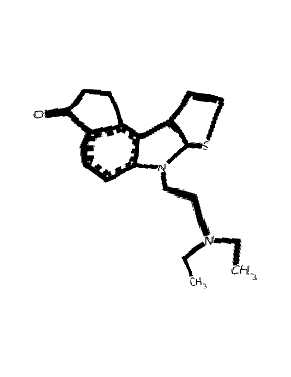 CCN(CC)CCN1c2ccc3c(c2C2C=CSC21)CCC3=O